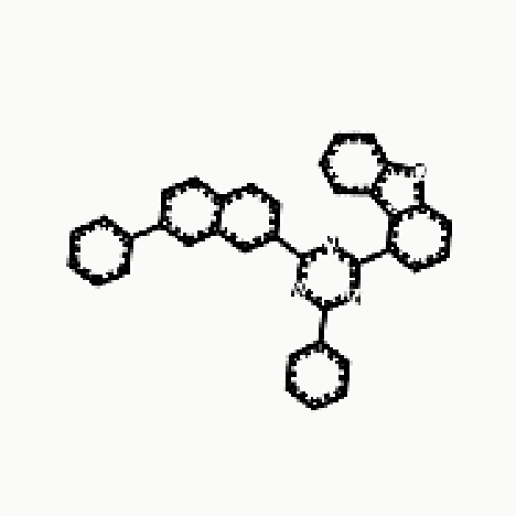 c1ccc(-c2ccc3ccc(-c4nc(-c5ccccc5)nc(-c5cccc6oc7ccccc7c56)n4)cc3c2)cc1